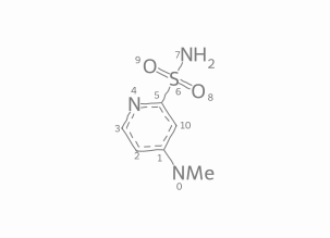 [CH2+][N-]c1ccnc(S(N)(=O)=O)c1